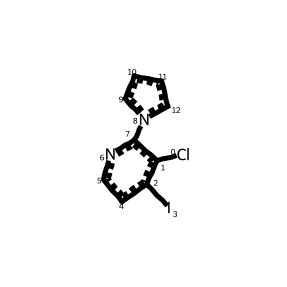 Clc1c(I)ccnc1-n1cccc1